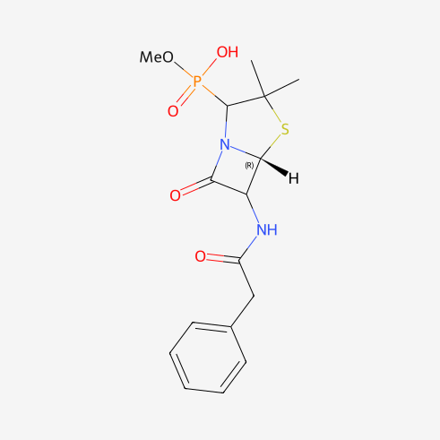 COP(=O)(O)C1N2C(=O)C(NC(=O)Cc3ccccc3)[C@H]2SC1(C)C